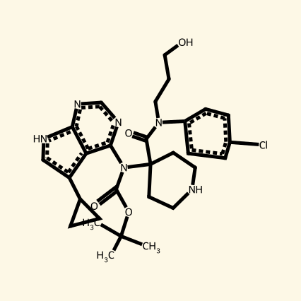 CC(C)(C)OC(=O)N(c1ncnc2[nH]cc(C3CC3)c12)C1(C(=O)N(CCCO)c2ccc(Cl)cc2)CCNCC1